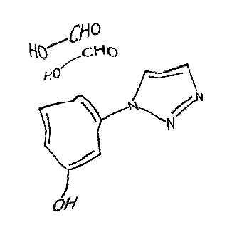 O=CO.O=CO.Oc1cccc(-n2ccnn2)c1